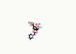 COC(=O)C1C2CC3C(NS(=O)(=O)C31)C2OC(=O)CN1CCCCC1